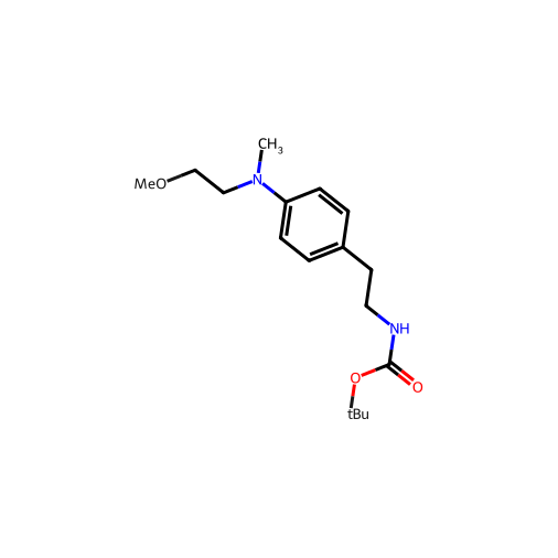 COCCN(C)c1ccc(CCNC(=O)OC(C)(C)C)cc1